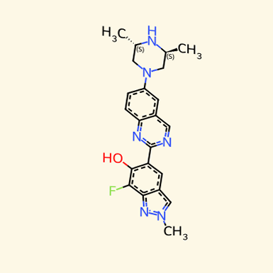 C[C@H]1CN(c2ccc3nc(-c4cc5cn(C)nc5c(F)c4O)ncc3c2)C[C@H](C)N1